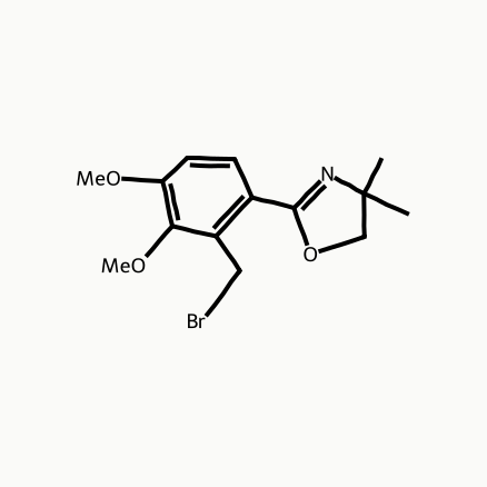 COc1ccc(C2=NC(C)(C)CO2)c(CBr)c1OC